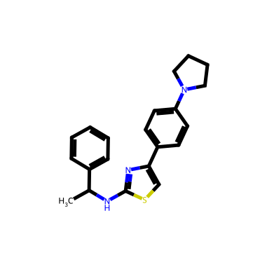 CC(Nc1nc(-c2ccc(N3CCCC3)cc2)cs1)c1ccccc1